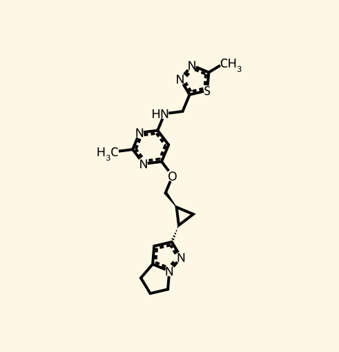 Cc1nc(NCc2nnc(C)s2)cc(OC[C@H]2C[C@@H]2c2cc3n(n2)CCC3)n1